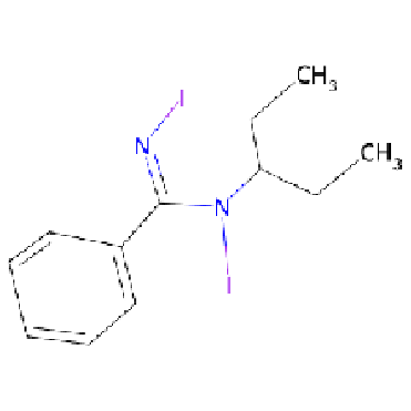 CCC(CC)N(I)/C(=N\I)c1ccccc1